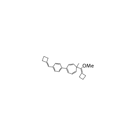 COC(=C1CCC1)C1(C)C=CC=C(c2ccc(C=C3CCC3)cc2)C=C1